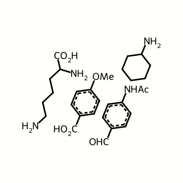 CC(=O)Nc1ccc(C=O)cc1.COc1ccc(C(=O)O)cc1.NC1CCCCC1.NCCCCC(N)C(=O)O